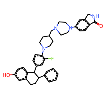 O=C1NCc2cc(N3CCN(CC4CCN(c5ccc(C6c7ccc(O)cc7CCC6c6ccccc6)cc5F)CC4)CC3)ccc21